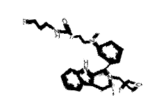 C[C@@H]1Cc2c([nH]c3ccccc23)[C@@H](c2cccc(N(C)CCOC(=O)NCCCF)c2)N1CC1(F)COC1